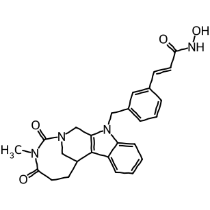 CN1C(=O)CCC2CN(Cc3c2c2ccccc2n3Cc2cccc(/C=C/C(=O)NO)c2)C1=O